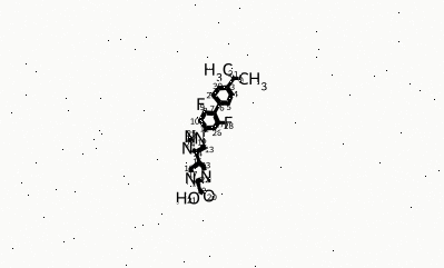 CC(C)c1ccc(-c2c(F)cc(-n3cc(-c4cnc(C(=O)O)nc4)nn3)cc2F)cc1